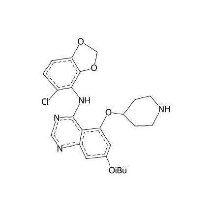 CC(C)COc1cc(OC2CCNCC2)c2c(Nc3c(Cl)ccc4c3OCO4)ncnc2c1